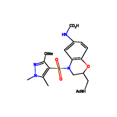 COc1nn(C)c(C)c1S(=O)(=O)N1CC(CNC(C)=O)Oc2ccc(NC(=O)O)cc21